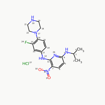 CC(C)Nc1ccc([N+](=O)[O-])c(Nc2ccc(N3CCNCC3)c(F)c2)n1.Cl